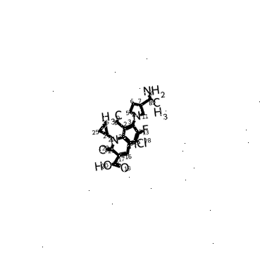 CCc1c(N2CCC([C@H](C)N)C2)c(F)cc2cc(C(=O)O)c(=O)n(C3CC3)c12.Cl